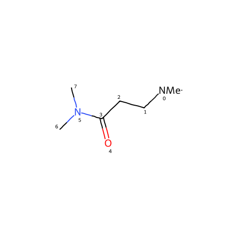 C[N]CCC(=O)N(C)C